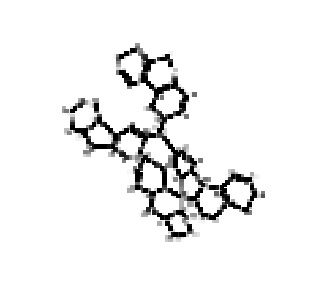 C1=CC2=C(CC1)CCC1=C2CC(N(C2=CC3=C(CC2)OC2CCCCC32)C2C=CC3C4C5=C(CCC=C5)CCC4C4(C5CCC=CC5OC5CCCCC54)C3C2)C=C1